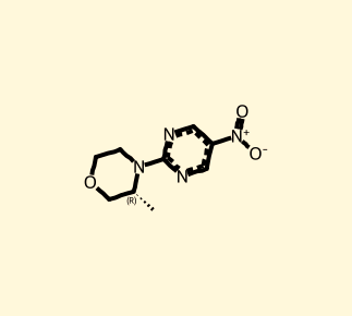 C[C@@H]1COCCN1c1ncc([N+](=O)[O-])cn1